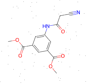 COC(=O)c1cc(NC(=O)CC#N)cc(C(=O)OC)c1